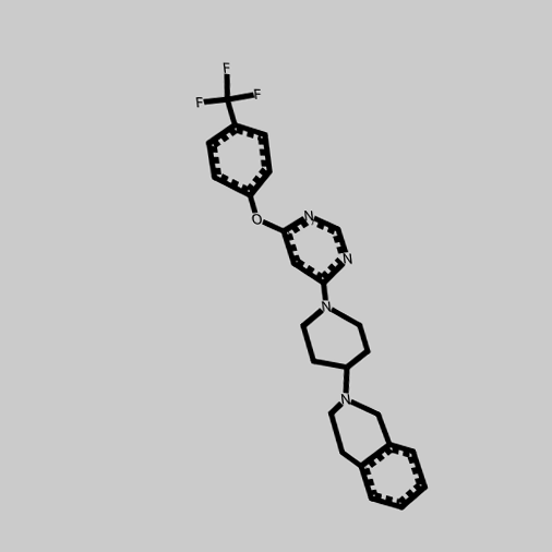 FC(F)(F)c1ccc(Oc2cc(N3CCC(N4CCc5ccccc5C4)CC3)ncn2)cc1